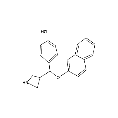 Cl.c1ccc(C(Oc2ccc3ccccc3c2)C2CNC2)cc1